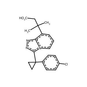 CC(C)(CC(=O)O)c1cccn2c(C3(c4ccc(Cl)cc4)CC3)nnc12